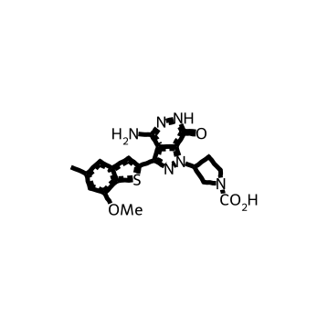 COc1cc(C)cc2cc(-c3nn(C4CCN(C(=O)O)C4)c4c(=O)[nH]nc(N)c34)sc12